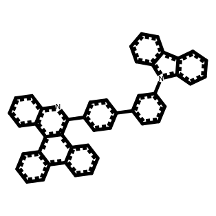 c1cc(-c2ccc(-c3nc4ccccc4c4c5ccccc5c5ccccc5c34)cc2)cc(-n2c3ccccc3c3ccccc32)c1